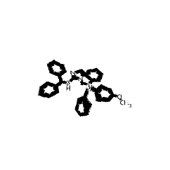 COc1ccc([Si](Cn2ccnc2BC(c2ccccc2)c2ccccc2)(c2ccccc2)c2ccccc2)cc1